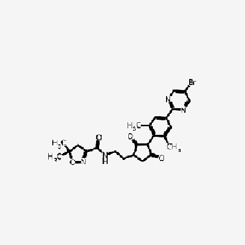 Cc1cc(-c2ncc(Br)cn2)cc(C)c1C1C(=O)CC(CCNC(=O)C2=NOC(C)(C)C2)C1=O